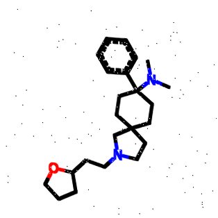 CN(C)C1(c2ccccc2)CCC2(CCN(CCC3CCCO3)C2)CC1